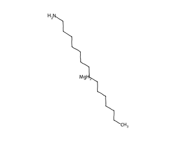 CCCCCCCCCCCCCCCN.[MgH2]